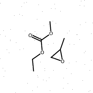 CC1CO1.CCOC(=O)OC